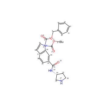 CC(C)(C)OC(=O)[N+]1(C(=O)OCc2ccccc2)C=Cc2ccc(C(=O)N[C@@H]3CCNC3)cc21